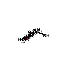 CCC(C)(CC)C(=O)C(C)Oc1ccc2c(c1)C(=O)c1ccc(OC(C)C(=O)OCCCCCCO)cc1C2=O